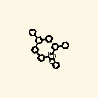 c1ccc(-c2cc(-c3ccccc3)cc(-c3cccc(-c4cccc(-c5nc(-c6cccc(-c7ccccc7)c6)nc6c5sc5ccccc56)c4)c3)c2)cc1